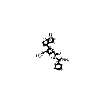 C=Cc1cc(C(=O)NC(CN)c2ccccc2)sc1-c1ccnc2[nH]ccc12